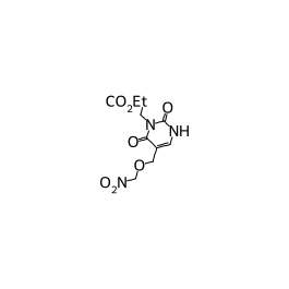 CCOC(=O)Cn1c(=O)[nH]cc(COC[N+](=O)[O-])c1=O